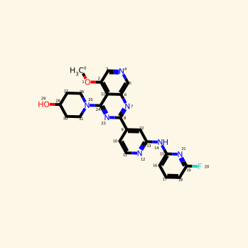 COc1cncc2nc(-c3ccnc(Nc4cccc(F)n4)c3)nc(N3CCC(O)CC3)c12